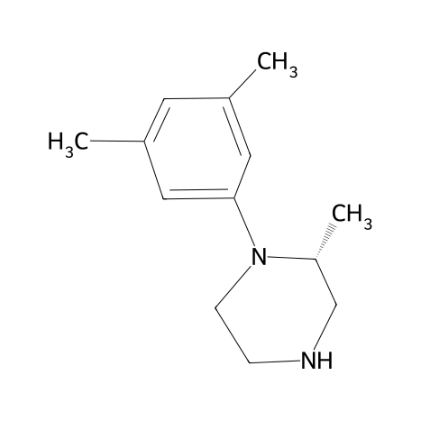 Cc1cc(C)cc(N2CCNC[C@H]2C)c1